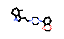 Cc1cccc2[nH]cc(CCN3CCN(c4cccc5c4OCCO5)CC3)c12